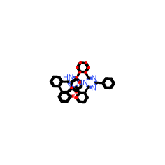 c1ccc(-c2nc(-c3ccccc3)nc(-c3ccccc3C3=NC(c4ccccc4)NC(c4ccccc4-c4cccc5oc6ccccc6c45)=N3)n2)cc1